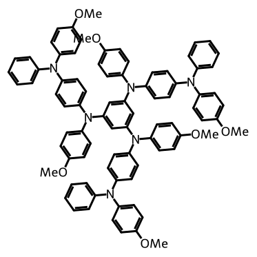 COc1ccc(N(c2ccccc2)c2ccc(N(c3ccc(OC)cc3)c3cc(N(c4ccc(OC)cc4)c4ccc(N(c5ccccc5)c5ccc(OC)cc5)cc4)cc(N(c4ccc(OC)cc4)c4ccc(N(c5ccccc5)c5ccc(OC)cc5)cc4)c3)cc2)cc1